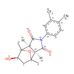 CC12C[C@@H](O)C(C)(O1)[C@H]1C(=O)N(c3ccc(C#N)c(C(F)(F)F)c3)C(=O)[C@H]12